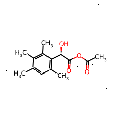 CC(=O)OC(=O)[C@H](O)c1c(C)cc(C)c(C)c1C